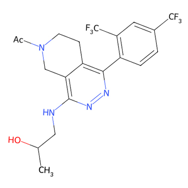 CC(=O)N1CCc2c(-c3ccc(C(F)(F)F)cc3C(F)(F)F)nnc(NCC(C)O)c2C1